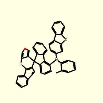 Cc1ccccc1N(c1ccc2c(c1)sc1ccccc12)c1cccc2c1-c1ccccc1C21c2ccccc2Oc2c1ccc1ccccc21